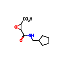 O=C(O)C1OC1C(=O)NCC1CCCC1